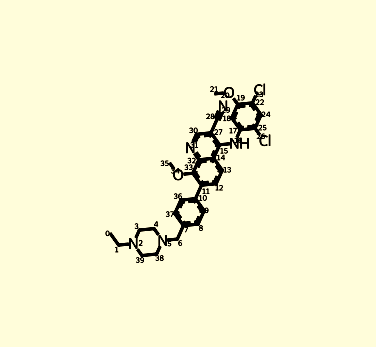 CCN1CCN(Cc2ccc(-c3ccc4c(Nc5cc(OC)c(Cl)cc5Cl)c(C#N)cnc4c3OC)cc2)CC1